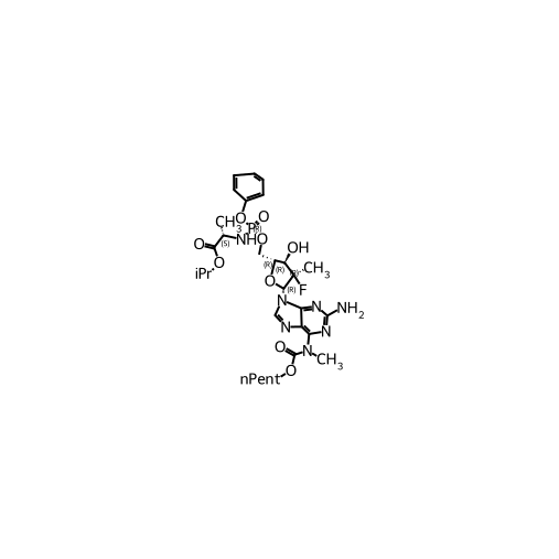 CCCCCOC(=O)N(C)c1nc(N)nc2c1ncn2[C@@H]1O[C@H](CO[P@](=O)(N[C@@H](C)C(=O)OC(C)C)Oc2ccccc2)[C@@H](O)[C@@]1(C)F